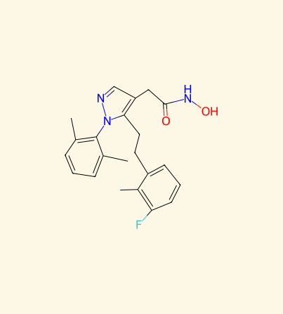 Cc1cccc(C)c1-n1ncc(CC(=O)NO)c1CCc1cccc(F)c1C